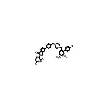 CC1(C)CCC(CN2CCN(Cc3ccc(-c4ccc5c(c4)CN(C4CCC(=O)NC4=O)C5=O)cc3)CC2)=C(c2ccc(Cl)cc2)C1